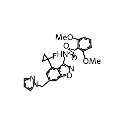 COc1cccc(OC)c1S(=O)(=O)Nc1noc2cc(Cn3cccn3)cc(C3(F)CC3)c12